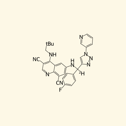 [2H]C(Nc1cc(C#N)c2ncc(C#N)c(NCC(C)(C)C)c2c1)(c1ccc(F)cc1)c1cn(-c2cccnc2)nn1